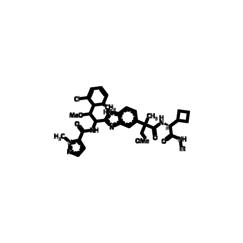 CCNC(=O)[C@H](NC(=O)C(C)(COC)c1ccc2[nH]c(C(NC(=O)c3ccnn3C)C(OC)C3C(Cl)=CC=CC3C)nc2c1)C1CCC1